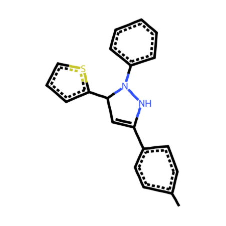 Cc1ccc(C2=CC(c3cccs3)N(c3ccccc3)N2)cc1